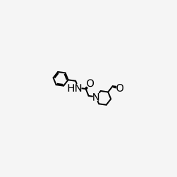 O=CC1CCCN(CC(=O)NCc2ccccc2)C1